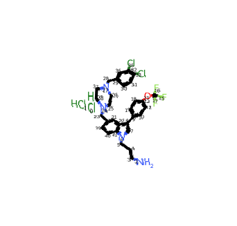 Cl.Cl.NCCCn1cc(-c2ccc(OC(F)(F)F)cc2)c2cc(CN3CCN(Cc4ccc(Cl)c(Cl)c4)CC3)ccc21